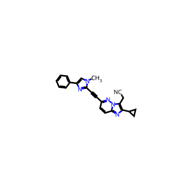 Cn1cc(-c2ccccc2)nc1C#Cc1ccc2nc(C3CC3)c(CC#N)n2n1